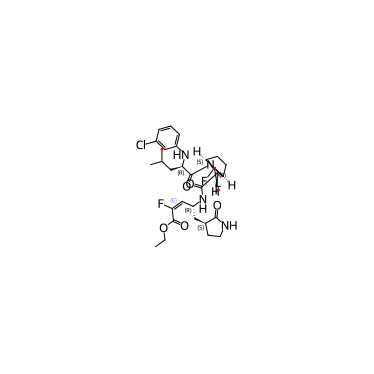 CCOC(=O)/C(F)=C\[C@@H](C[C@@H]1CCNC1=O)NC(=O)[C@H]1[C@@H]2CC[C@@H](CC2(F)F)N1C(=O)[C@@H](CC(C)C)Nc1cccc(Cl)c1